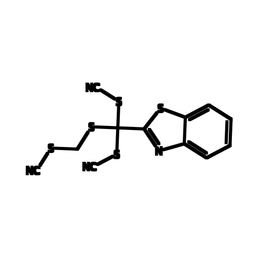 N#CSCSC(SC#N)(SC#N)c1nc2ccccc2s1